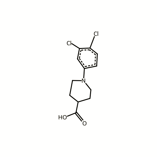 O=C(O)C1CCN(c2ccc(Cl)c(Cl)c2)CC1